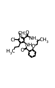 CCCOc1ccccc1C(=O)Nc1c(CCC)c(Cl)n(C)c1C(N)=O